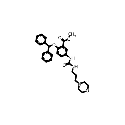 COC(=O)c1cc(NC(=O)NCCCN2CCOCC2)ccc1OC(c1ccccc1)c1ccccc1